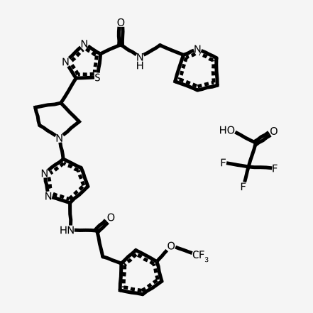 O=C(Cc1cccc(OC(F)(F)F)c1)Nc1ccc(N2CCC(c3nnc(C(=O)NCc4ccccn4)s3)C2)nn1.O=C(O)C(F)(F)F